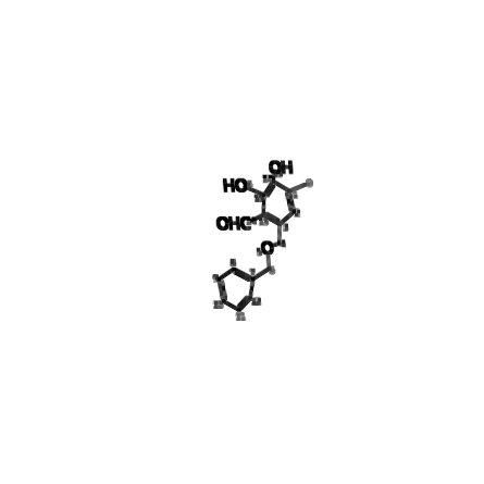 Cc1cc(COCc2ccccc2)c(C=O)c(O)c1O